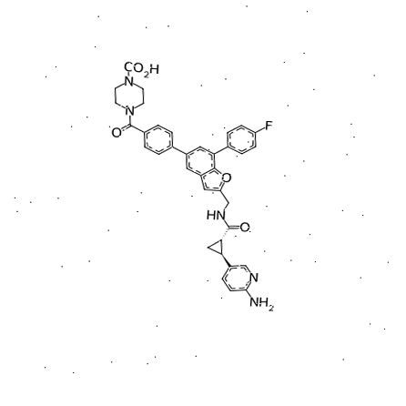 Nc1ccc([C@H]2C[C@@H]2C(=O)NCc2cc3cc(-c4ccc(C(=O)N5CCN(C(=O)O)CC5)cc4)cc(-c4ccc(F)cc4)c3o2)cn1